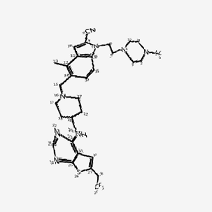 CC(=O)N1CCN(CCn2c(C#N)cc3c(C)c(CN4CCC(Nc5ncnc6sc(CC(F)(F)F)cc56)CC4)ccc32)CC1